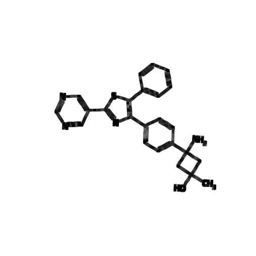 CC1(O)CC(N)(c2ccc(-c3nc(-c4cncnc4)sc3-c3ccccc3)cc2)C1